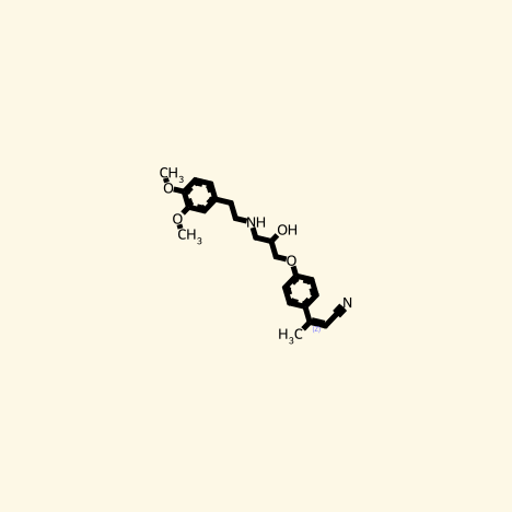 COc1ccc(CCNCC(O)COc2ccc(/C(C)=C\C#N)cc2)cc1OC